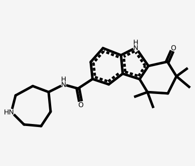 CC1(C)CC(C)(C)c2c([nH]c3ccc(C(=O)NC4CCCNCC4)cc23)C1=O